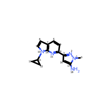 Cn1nc(-c2ccc3ccn(C4CC4)c3n2)cc1N